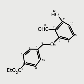 CCOC(=O)c1ccc(COc2cccc(O)c2C=O)cc1